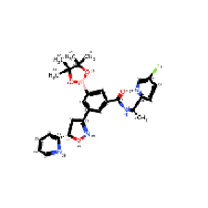 C[C@@H](NC(=O)c1cc(B2OC(C)(C)C(C)(C)O2)cc(C2=NO[C@H](c3ccccn3)C2)c1)c1ccc(F)cn1